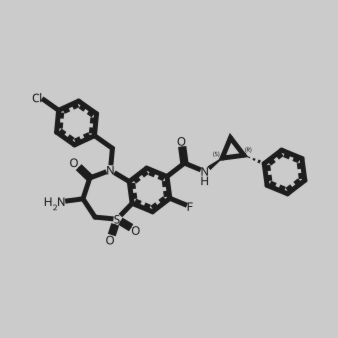 NC1CS(=O)(=O)c2cc(F)c(C(=O)N[C@H]3C[C@@H]3c3ccccc3)cc2N(Cc2ccc(Cl)cc2)C1=O